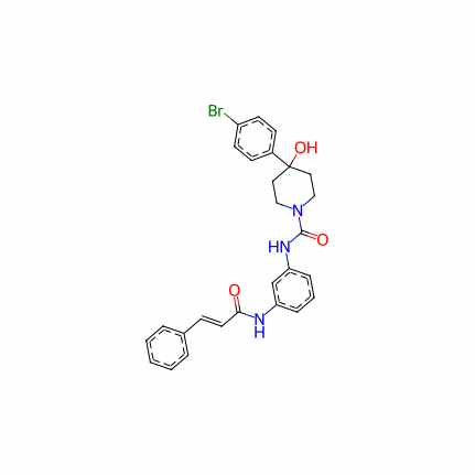 O=C(/C=C/c1ccccc1)Nc1cccc(NC(=O)N2CCC(O)(c3ccc(Br)cc3)CC2)c1